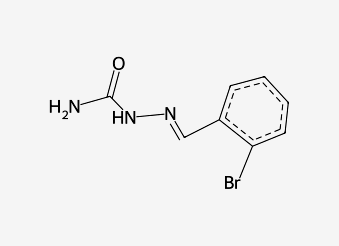 NC(=O)N/N=C/c1ccccc1Br